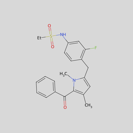 CCS(=O)(=O)Nc1ccc(Cc2cc(C)c(C(=O)c3ccccc3)n2C)c(F)c1